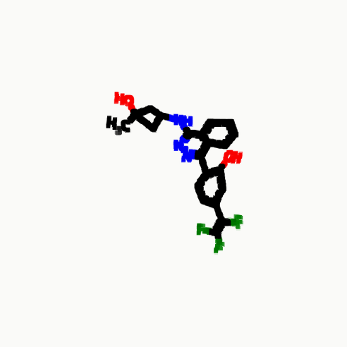 CC1(O)CC(Nc2nnc(-c3ccc(C(F)=C(F)F)cc3O)c3ccccc23)C1